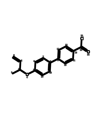 C=CC(C)Oc1ccc(-c2ccc(C(=O)Cl)cc2)cc1